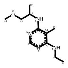 CCNc1ncnc(NC(C)COC)c1C